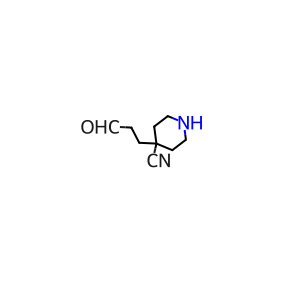 N#CC1(CCC=O)CCNCC1